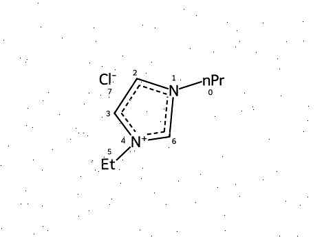 CCCn1cc[n+](CC)c1.[Cl-]